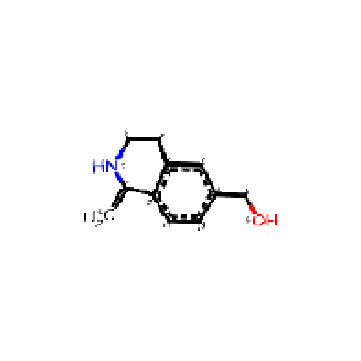 C=C1NCCc2cc(CO)ccc21